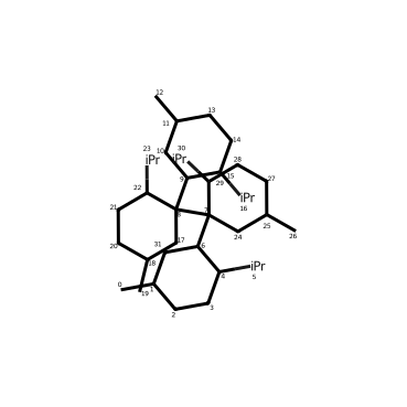 CC1CCC(C(C)C)C(C2(C3(C4CC(C)CCC4C(C)C)CC(C)CCC3C(C)C)CC(C)CCC2C(C)C)C1